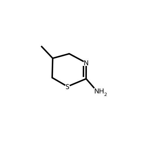 CC1CN=C(N)SC1